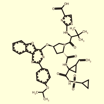 C=CC1CC1(NC(=O)[C@@H]1C[C@@H](Oc2nc(-c3ccc(OC(C)C)cc3)nc3c2oc2ccccc23)CN1C(=O)[C@@H](Nc1nc(C(=O)O)cs1)C(C)(C)C)C(=O)NS(=O)(=O)C1CC1